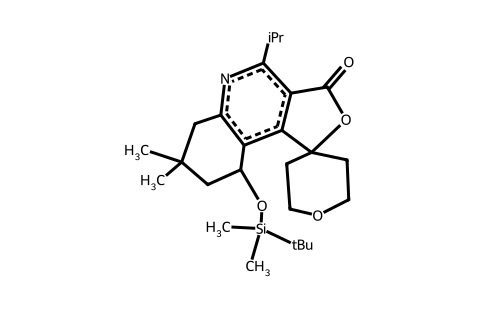 CC(C)c1nc2c(c3c1C(=O)OC31CCOCC1)C(O[Si](C)(C)C(C)(C)C)CC(C)(C)C2